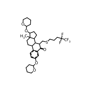 CC12CCC3c4ccc(OC5CCCCO5)cc4C(=O)C(CSCCCC(F)(F)C(F)(F)F)C3C1CCC2OC1CCCCO1